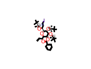 C=CCC1O[C@@H](C(/C=C/I)O[Si](C)(C)C(C)(C)C)C(O[Si](C)(C)C(C)(C)C)C(O[Si](C)(C)C(C)(C)C)[C@H]1OC(=O)c1ccccc1